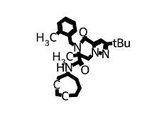 Cc1ccccc1CN1C(=O)c2cc(C(C)(C)C)nn2CC1(C)C(=O)NC1CCCCCCC1